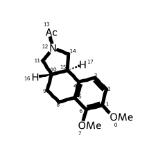 COc1ccc2c(c1OC)CC[C@@H]1CN(C(C)=O)C[C@@H]21